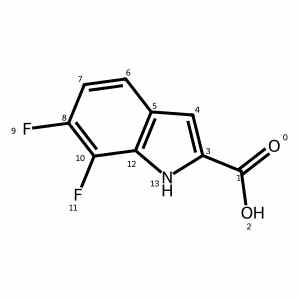 O=C(O)c1cc2ccc(F)c(F)c2[nH]1